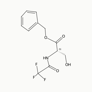 O=C(OCc1ccccc1)[C@H](CO)NC(=O)C(F)(F)F